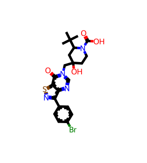 CC(C)(C)C1CC(O)(Cn2cnc3c(-c4ccc(Br)cc4)nsc3c2=O)CCN1C(=O)O